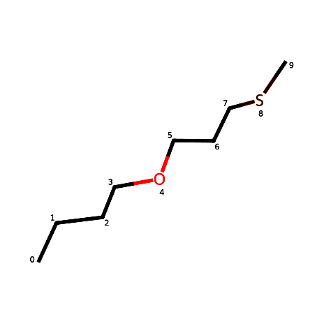 CCCCOCCCSC